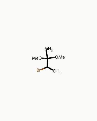 COC([SiH3])(OC)C(C)Br